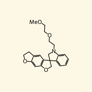 COCCOCCN1CC2(COc3cc4c(cc32)CCO4)c2ccccc21